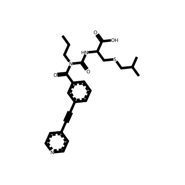 CCCN(C(=O)NC(CSCC(C)C)C(=O)O)C(=O)c1cccc(C#Cc2ccncc2)c1